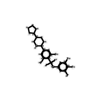 Fc1cc(OC(F)(F)c2c(F)cc(C3CCC(C4CCCC4)CO3)cc2F)cc(F)c1F